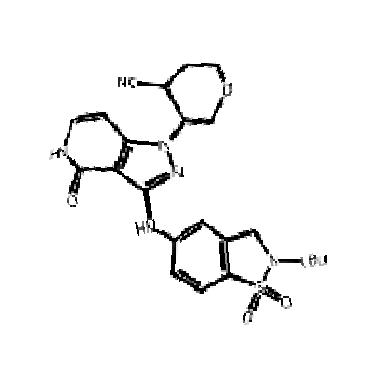 CC(C)(C)N1Cc2cc(Nc3nn(C4COCCC4C#N)c4cc[nH]c(=O)c34)ccc2S1(=O)=O